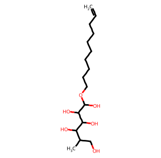 C=CCCCCCCCCOC(O)C(O)C(O)C(O)C(C)CO